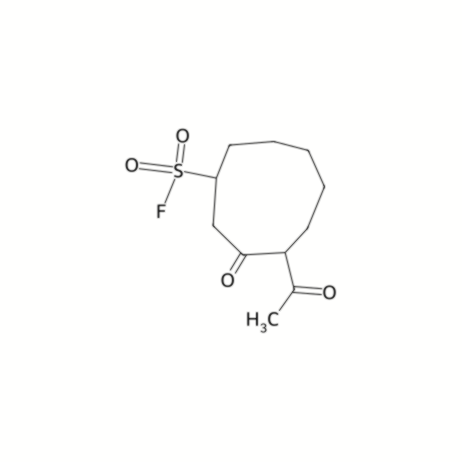 CC(=O)C1CCCCCC(S(=O)(=O)F)CC1=O